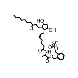 CCCCCCCC(=O)CC[C@@H]1[C@@H](C/C=C\CCCC(=O)NC(C)C(=O)OCc2ccccc2CO[N+](=O)[O-])[C@@H](O)C[C@H]1O